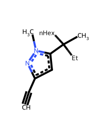 C#Cc1cc(C(C)(CC)CCCCCC)n(C)n1